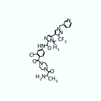 CC(N)C(=O)N1CCN(C(=O)c2ccc(NC(=O)c3ncc(-c4cn(Cc5cccnc5)nc4C(F)(F)F)n3C)cc2Cl)CC1